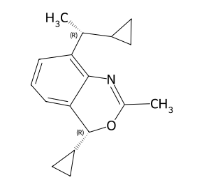 CC1=Nc2c([C@H](C)C3CC3)cccc2[C@@H](C2CC2)O1